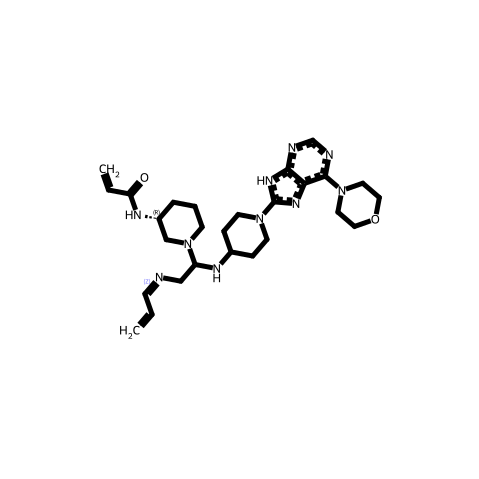 C=C/C=N\CC(NC1CCN(c2nc3c(N4CCOCC4)ncnc3[nH]2)CC1)N1CCC[C@@H](NC(=O)C=C)C1